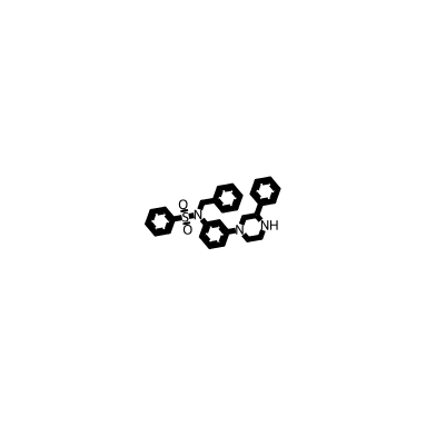 O=S(=O)(c1ccccc1)N(Cc1ccccc1)c1cccc(N2CCNC(c3ccccc3)C2)c1